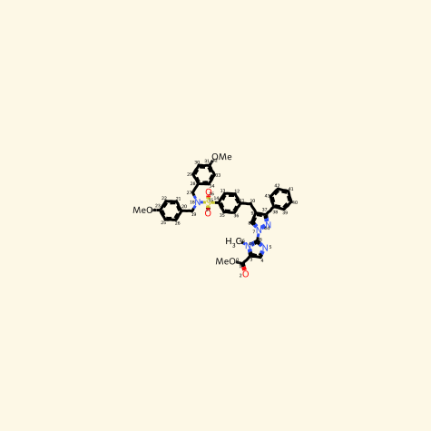 COC(=O)c1cnc(-n2cc(Cc3ccc(S(=O)(=O)N(Cc4ccc(OC)cc4)Cc4ccc(OC)cc4)cc3)c(-c3ccccc3)n2)n1C